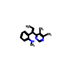 C/C=C(\c1ccccc1NC)c1ncnc(C)c1C